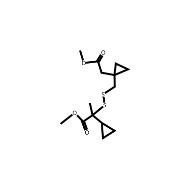 COC(=O)CC1(CSSC(C)(C(=O)OC)C2CC2)CC1